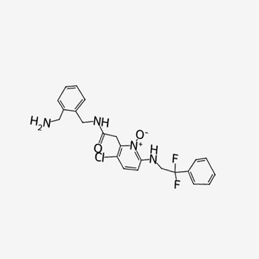 NCc1ccccc1CNC(=O)Cc1c(Cl)ccc(NCC(F)(F)c2ccccc2)[n+]1[O-]